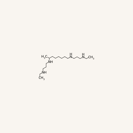 CCNCCCNCCCCCCC(C)NCCCNCC